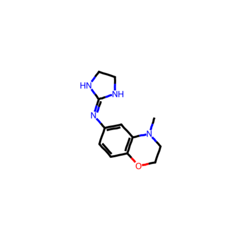 CN1CCOc2ccc(N=C3NCCN3)cc21